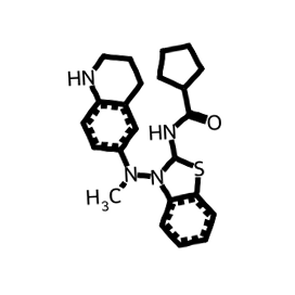 CN(c1ccc2c(c1)CCCN2)N1c2ccccc2SC1NC(=O)C1CCCC1